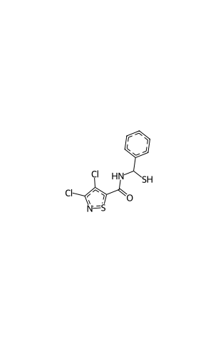 O=C(NC(S)c1ccccc1)c1snc(Cl)c1Cl